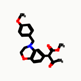 COC(=O)C(C(C)=O)c1ccc2c(c1)N(Cc1ccc(OC)cc1)CCO2